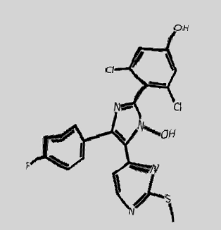 CSc1nccc(-c2c(-c3ccc(F)cc3)nc(-c3c(Cl)cc(O)cc3Cl)n2O)n1